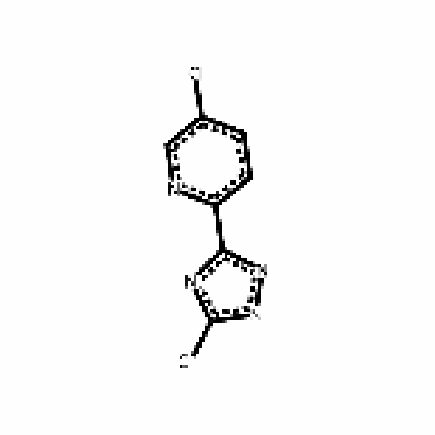 Clc1ccc(-c2nsc(Cl)n2)nc1